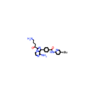 CCCCc1ccc(NC(=O)c2ccc(-c3nc(C(=O)CCCN)n4ccnc(N)c34)cc2)nc1